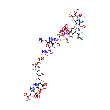 COC(=O)c1cc2c3c(cc(OP(=O)(O)OP(=O)(O)OCCNC(=O)C(CCC(=O)NCCOCCOC(C)(C)CCNC(=O)CC[C@H](NC(=O)N[C@@H](CCC(=O)O)C(=O)O)C(=O)O)NC(=O)CON)c2[nH]1)N(C(=O)c1cc2cc(OC)c(OC)c(OC)c2[nH]1)C[C@H]3CCl